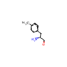 Cc1ccc(C[C@H](N)C=O)cc1